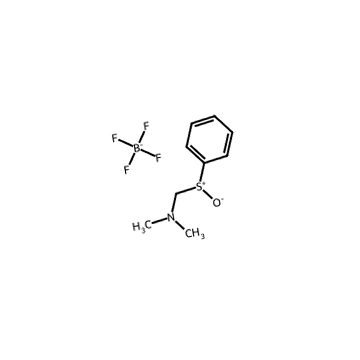 CN(C)C[S+]([O-])c1ccccc1.F[B-](F)(F)F